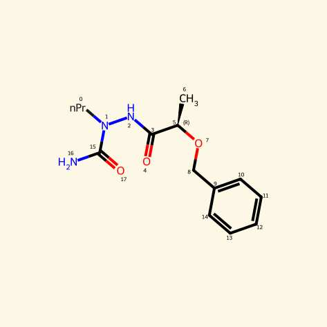 CCCN(NC(=O)[C@@H](C)OCc1ccccc1)C(N)=O